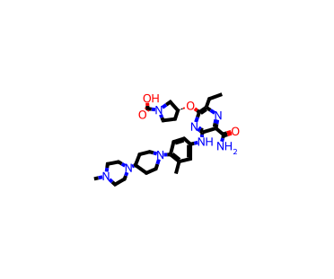 CCc1nc(C(N)=O)c(Nc2ccc(N3CCC(N4CCN(C)CC4)CC3)c(C)c2)nc1O[C@@H]1CCN(C(=O)O)C1